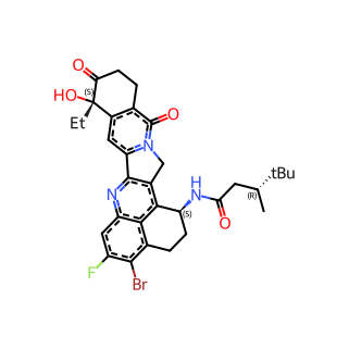 CC[C@@]1(O)C(=O)CCc2c1cc1n(c2=O)Cc2c-1nc1cc(F)c(Br)c3c1c2[C@@H](NC(=O)C[C@@H](C)C(C)(C)C)CC3